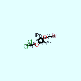 CC(C)c1cc(OCC=C(Cl)Cl)cc(C(C)C)c1OCCCBr